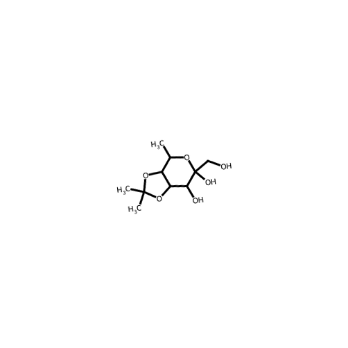 CC1OC(O)(CO)C(O)C2OC(C)(C)OC12